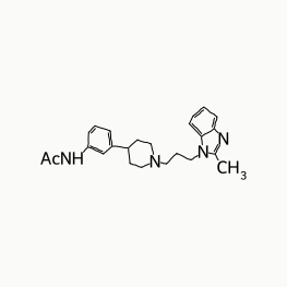 CC(=O)Nc1cccc(C2CCN(CCCn3c(C)nc4ccccc43)CC2)c1